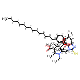 CCCCCCCCCCCCCCCc1cccc(OC(C)C)c1C1(CC)C(C(=O)O)=C(C)N(CC)C(Cn2c(S)nc3cc(C)ccc32)=C1C(=O)O